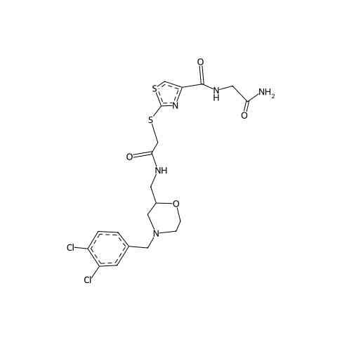 NC(=O)CNC(=O)c1csc(SCC(=O)NCC2CN(Cc3ccc(Cl)c(Cl)c3)CCO2)n1